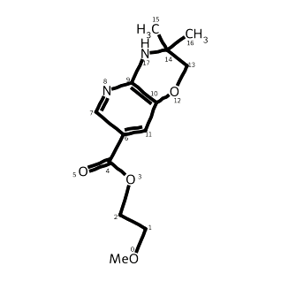 COCCOC(=O)c1cnc2c(c1)OCC(C)(C)N2